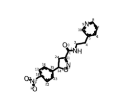 O=C(NCCc1cccnc1)C1=NOC(c2ccc([N+](=O)[O-])cc2)C1